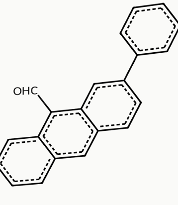 O=Cc1c2ccccc2cc2ccc(-c3ccccc3)cc12